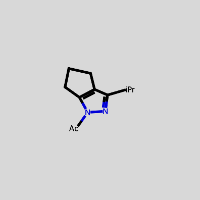 CC(=O)n1nc(C(C)C)c2c1CCC2